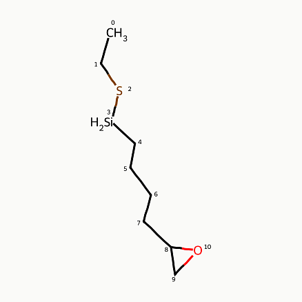 CCS[SiH2]CCCCC1CO1